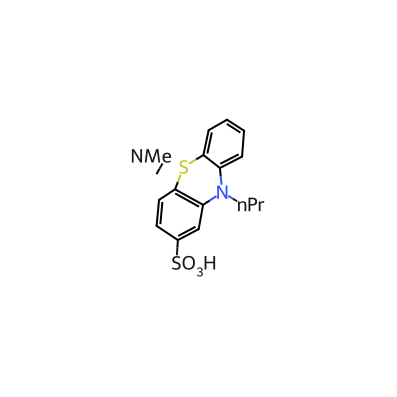 CCCN1c2ccccc2Sc2ccc(S(=O)(=O)O)cc21.CNC